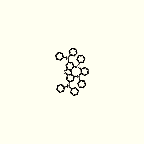 c1ccc(N(c2ccccc2)c2cc3sc4cc(N(c5ccccc5)c5ccccc5)cc5c4c3c(c2)n(-c2ccccc2)c2ccccc2n5-c2ccccc2)cc1